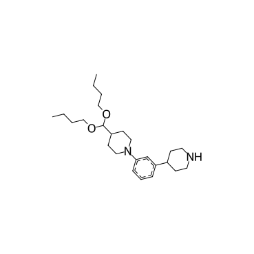 CCCCOC(OCCCC)C1CCN(c2cccc(C3CCNCC3)c2)CC1